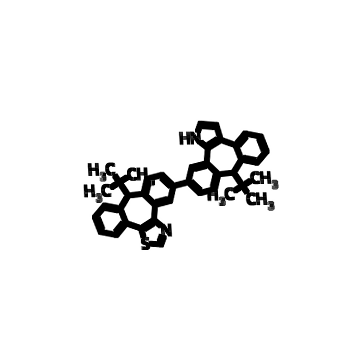 CC(C)(C)C1c2ccccc2-c2cc[nH]c2-c2cc(-c3ccc4c(c3)-c3ncsc3-c3ccccc3C4C(C)(C)C)ccc21